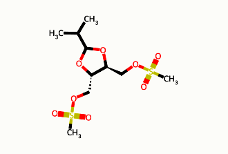 CC(C)C1O[C@@H](COS(C)(=O)=O)[C@H](COS(C)(=O)=O)O1